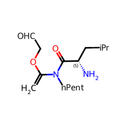 C=C(OCC=O)N(CCCCC)C(=O)[C@@H](N)CC(C)C